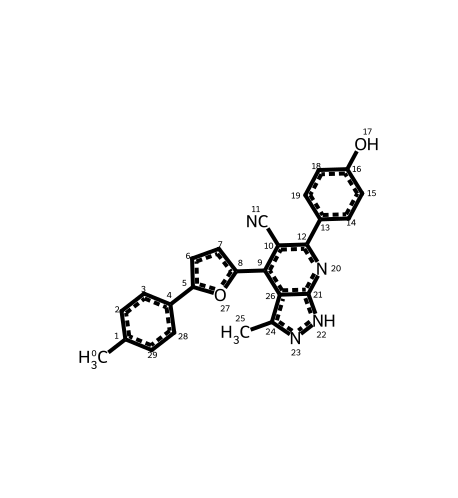 Cc1ccc(-c2ccc(-c3c(C#N)c(-c4ccc(O)cc4)nc4[nH]nc(C)c34)o2)cc1